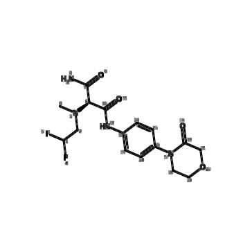 CN(CC(F)F)[C@@H](C(N)=O)C(=O)Nc1ccc(N2CCOCC2=O)cc1